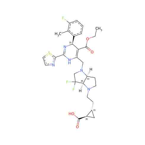 CCOC(=O)C1=C(CN2CC(F)(F)[C@H]3[C@@H]2CCN3CC[C@@H]2C[C@H]2C(=O)O)NC(c2nccs2)=N[C@H]1c1cccc(F)c1C